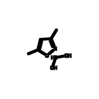 Cc1cc(C)on1.OBO